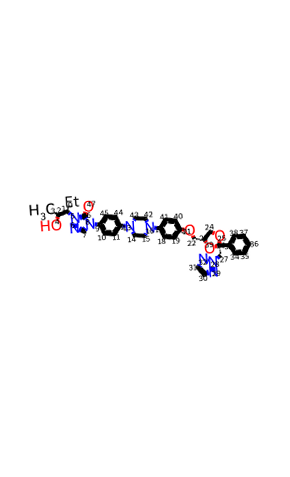 CC[C@@H]([C@H](C)O)n1ncn(-c2ccc(N3CCN(c4ccc(OC[C@@H]5CO[C@@](Cn6nccn6)(c6ccccc6)O5)cc4)CC3)cc2)c1=O